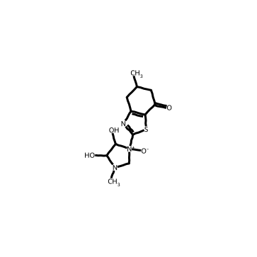 CC1CC(=O)c2sc([N+]3([O-])CN(C)C(O)C3O)nc2C1